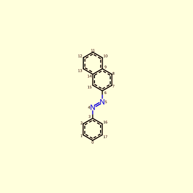 c1ccc(N=Nc2ccc3ccccc3c2)cc1